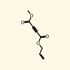 C=CCOC(=O)C#CC(=O)OC